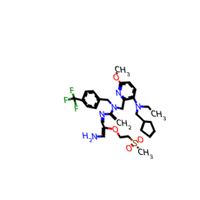 C=C(/N=C\C(=C/N)OCCS(C)(=O)=O)N(Cc1ccc(C(F)(F)F)cc1)Cc1nc(OC)ccc1N(CC)CC1CCCC1